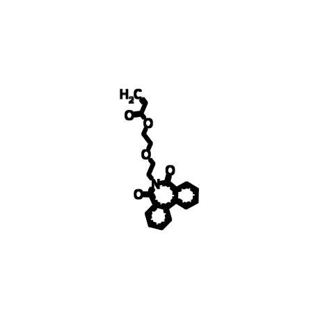 C=CC(=O)OCCOCCn1c(=O)c2ccccc2c2ccccc2c1=O